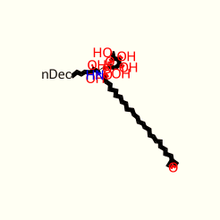 CCCCCCCCCCCCCC[C@@H](O)[C@@H](O)[C@H](COC1OC(CO)C(O)C(O)C1O)NC(=O)CCCCCCCCCCCCCCCCCCCCCCCCC1COC1